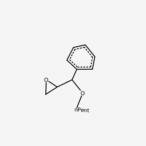 CCCCCOC(c1ccccc1)C1CO1